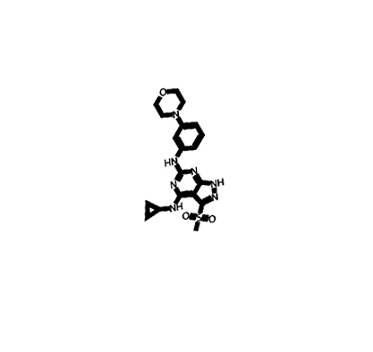 CS(=O)(=O)c1n[nH]c2nc(Nc3cccc(N4CCOCC4)c3)nc(NC3CC3)c12